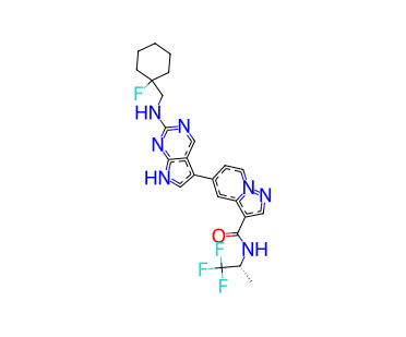 C[C@@H](NC(=O)c1cnn2ccc(-c3c[nH]c4nc(NCC5(F)CCCCC5)ncc34)cc12)C(F)(F)F